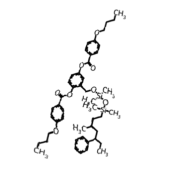 CCCCOc1ccc(C(=O)Oc2ccc(OC(=O)c3ccc(OCCCC)cc3)c(CO[Si](C)(C)O[Si](C)(C)CCC(C)CC(CC)c3ccccc3)c2)cc1